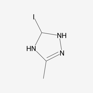 CC1=NNC(I)N1